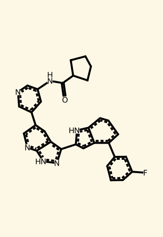 O=C(Nc1cncc(-c2cnc3[nH]nc(-c4cc5c(-c6cccc(F)c6)cccc5[nH]4)c3c2)c1)C1CCCC1